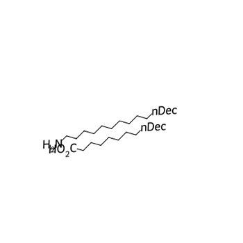 CCCCCCCCCCCCCCCCCC(=O)O.CCCCCCCCCCCCCCCCCCCCN